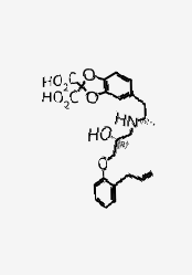 C=CCc1ccccc1OC[C@H](O)CN[C@@H](C)Cc1ccc2c(c1)OC(C(=O)O)(C(=O)O)O2